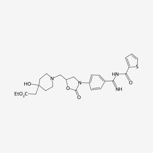 CCOC(=O)CC1(O)CCN(CC2CN(c3ccc(C(=N)NC(=O)c4cccs4)cc3)C(=O)O2)CC1